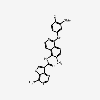 COc1cc(Nc2nccc3c(NC(=O)c4csc5c(N)ncnc45)c(C)ccc23)ccc1Cl